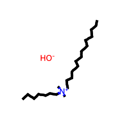 CCCCCCCCCCCCCC[N+](C)(C)CCCCCCC.[OH-]